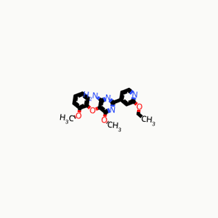 CCOc1cc(-c2nc(N)c(Oc3ccccc3OC)c(OC)n2)ccn1